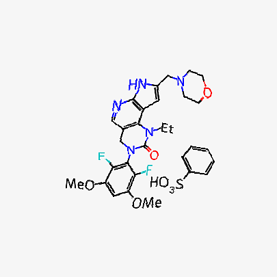 CCN1C(=O)N(c2c(F)c(OC)cc(OC)c2F)Cc2cnc3[nH]c(CN4CCOCC4)cc3c21.O=S(=O)(O)c1ccccc1